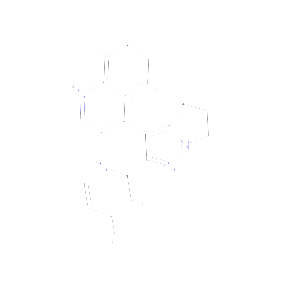 Clc1ccnc(-c2nn3c(c2-c2ccnc4ccccc24)CCC3)c1